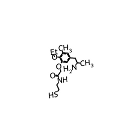 CCOc1c(C)cc(CC(C)N)cc1OCC(=O)NCCS